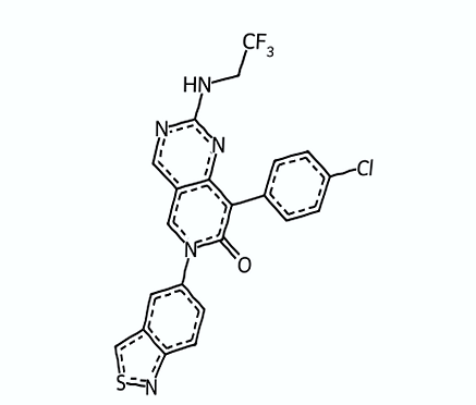 O=c1c(-c2ccc(Cl)cc2)c2nc(NCC(F)(F)F)ncc2cn1-c1ccc2nscc2c1